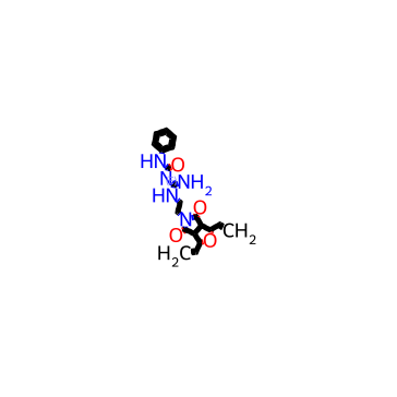 C=CC1OC(C=C)C2C(=O)N(CCN/C(N)=N/C(=O)Nc3ccccc3)C(=O)C12